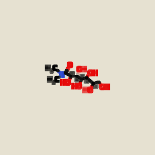 CN(C)C(=O)[C@H](O)[C@H](O)[C@H](O)[C@@H](O)[C@H](O)CO